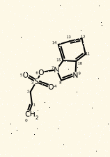 C=CCS(=O)(=O)On1cnc2ccccc21